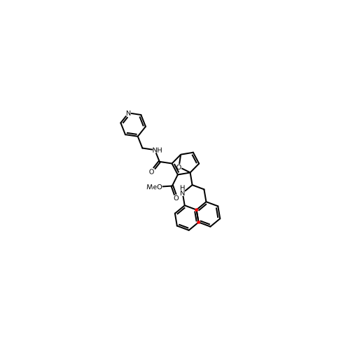 COC(=O)C1=C(C(=O)NCc2ccncc2)C2C=CC1(C(Cc1ccccc1)Nc1ccccc1)O2